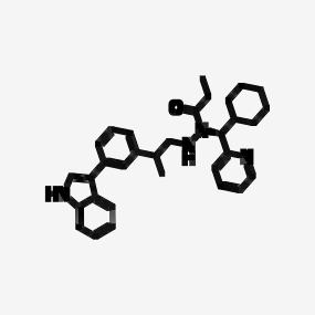 CCC(=O)N(NCC(C)c1cccc(-c2c[nH]c3ccccc23)c1)[C@H](c1ccccn1)C1CCCCC1